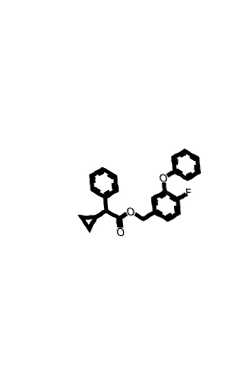 O=C(OCc1ccc(F)c(Oc2ccccc2)c1)C(c1ccccc1)C1CC1